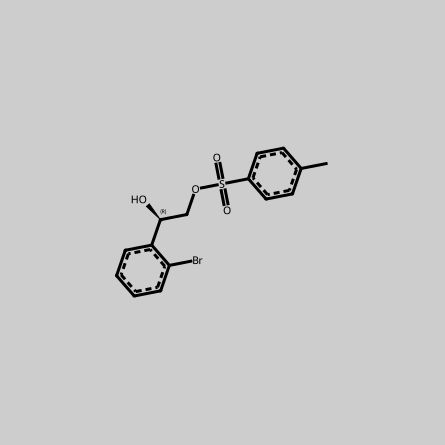 Cc1ccc(S(=O)(=O)OC[C@H](O)c2ccccc2Br)cc1